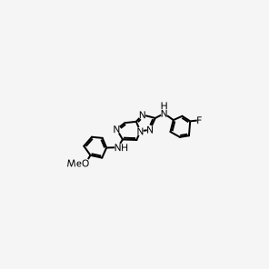 COc1cccc(Nc2cn3nc(Nc4cccc(F)c4)nc3cn2)c1